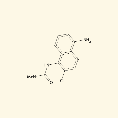 CNC(=O)Nc1c(Cl)cnc2c(N)cccc12